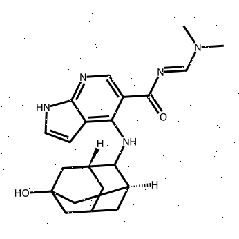 CN(C)C=NC(=O)c1cnc2[nH]ccc2c1NC1[C@@H]2CC3C[C@H]1CC(O)(C3)C2